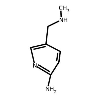 CNCc1ccc(N)nc1